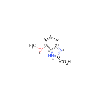 O=C(O)c1nc2cccc(OC(F)(F)F)c2[nH]1